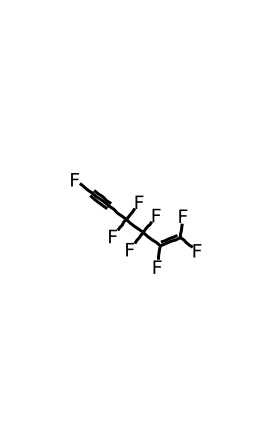 FC#CC(F)(F)C(F)(F)C(F)=C(F)F